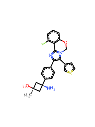 C[C@]1(O)C[C@](N)(c2ccc(-c3nc4n(c3-c3ccsc3)COc3cccc(F)c3-4)cc2)C1